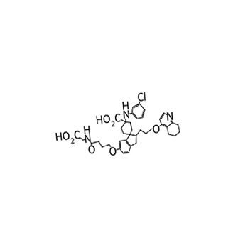 O=C(O)CNC(=O)CCCOc1ccc2c(c1)C1(CCC(Nc3cccc(Cl)c3)(C(=O)O)CC1)C(CCCOc1ccnc3c1CCCC3)C2